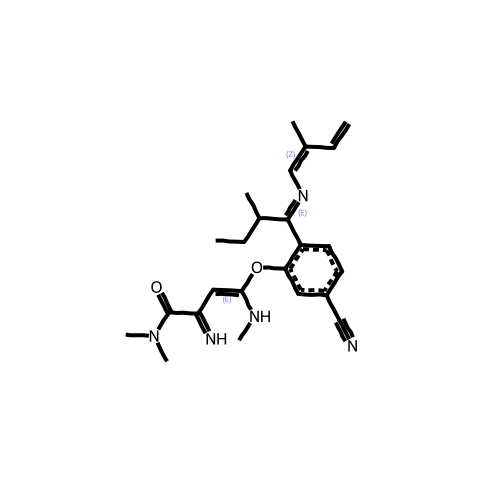 C=C/C(C)=C\N=C(\c1ccc(C#N)cc1O/C(=C/C(=N)C(=O)N(C)C)NC)C(C)CC